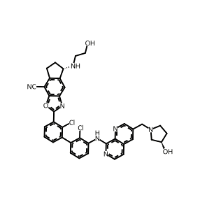 N#Cc1c2c(cc3nc(-c4cccc(-c5cccc(Nc6nccc7cc(CN8CC[C@@H](O)C8)cnc67)c5Cl)c4Cl)oc13)[C@@H](NCCO)CC2